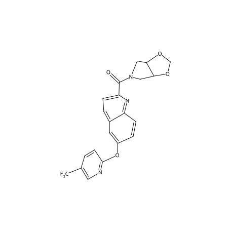 O=C(c1ccc2cc(Oc3ccc(C(F)(F)F)cn3)ccc2n1)N1CC2OCOC2C1